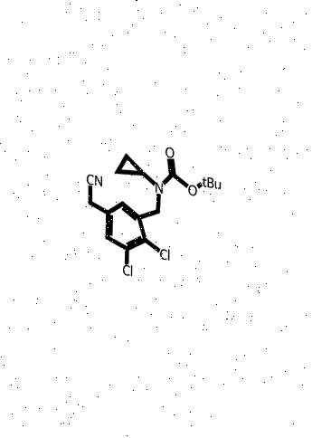 CC(C)(C)OC(=O)N(Cc1cc(CC#N)cc(Cl)c1Cl)C1CC1